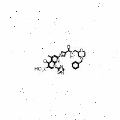 Cc1cc(N2CC(C(=O)NCC3CN(Cc4ccccc4)CCO3)C2)nc2c1c(=O)c(C(=O)O)cn2-c1ncns1